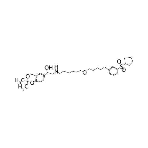 CC1(C)OCc2cc([C@@H](O)CNCCCCCCOCCCCCc3cccc(S(=O)(=O)C4CCCC4)c3)ccc2O1